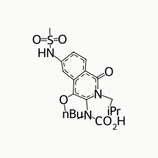 CCCCOc1c(N(C)C(=O)O)n(CC(C)C)c(=O)c2ccc(NS(C)(=O)=O)cc12